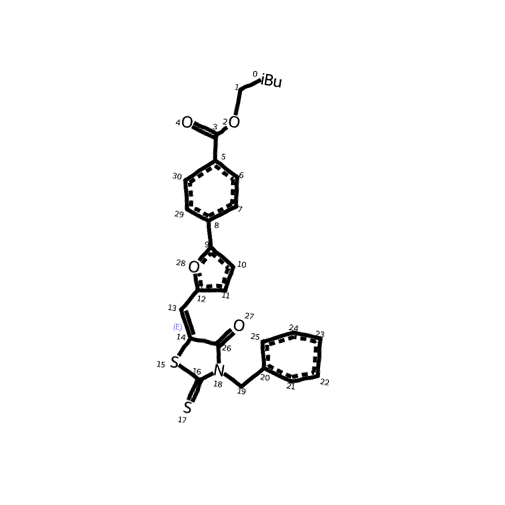 CCC(C)COC(=O)c1ccc(-c2ccc(/C=C3/SC(=S)N(Cc4ccccc4)C3=O)o2)cc1